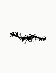 C=CC(=O)OCC(O)CCCCCCOc1ccc(C(=O)Oc2ccc(OC(=O)c3ccc(OCCCCCCC(O)COC(=O)C=C)cc3)c(C(F)(F)F)c2C(F)(F)F)cc1